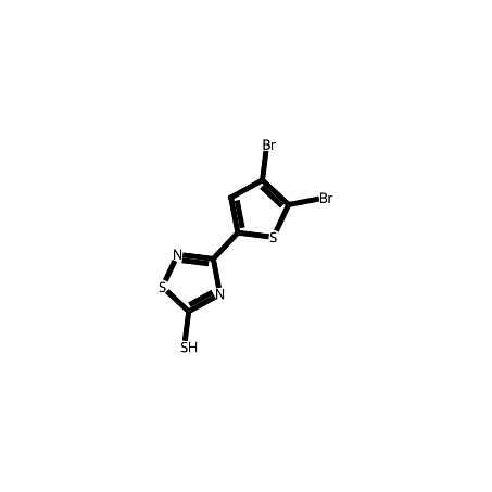 Sc1nc(-c2cc(Br)c(Br)s2)ns1